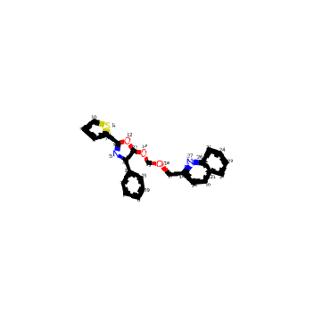 c1ccc(C2N=C(c3cccs3)OC2OCOCc2ccc3ccccc3n2)cc1